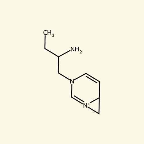 CCC(N)CN1C=CC2C[N+]2=C1